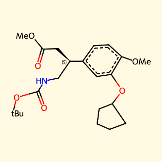 COC(=O)C[C@H](CNC(=O)OC(C)(C)C)c1ccc(OC)c(OC2CCCC2)c1